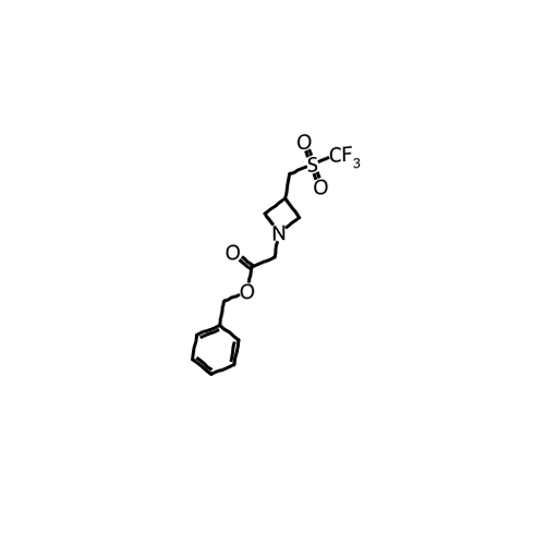 O=C(CN1CC(CS(=O)(=O)C(F)(F)F)C1)OCc1ccccc1